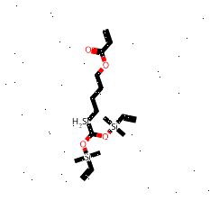 C=CC(=O)OCCCC[SiH2]C(O[Si](C)(C)C=C)O[Si](C)(C)C=C